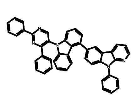 c1ccc(-c2ncc(-n3c4ccccc4c4c(-c5ccc6c(c5)c5cccnc5n6-c5ccccc5)cccc43)c(-c3ccccc3)n2)cc1